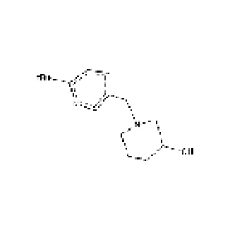 CC(C)(C)c1ccc(CN2CCCC(O)C2)cn1